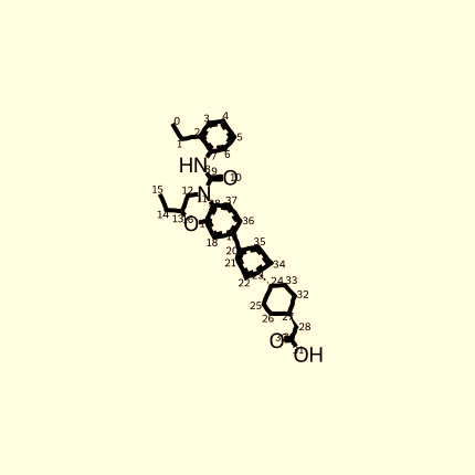 CCc1ccccc1NC(=O)N1CC(CC)Oc2cc(-c3ccc([C@H]4CC[C@H](CC(=O)O)CC4)cc3)ccc21